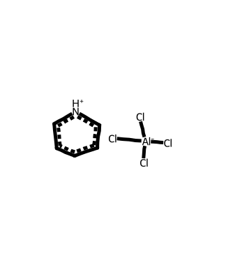 [Cl][Al-]([Cl])([Cl])[Cl].c1cc[nH+]cc1